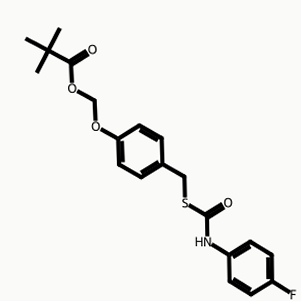 CC(C)(C)C(=O)OCOc1ccc(CSC(=O)Nc2ccc(F)cc2)cc1